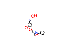 COc1cc(/C=C/CO)ccc1OCCc1nc(-c2ccccc2)oc1C